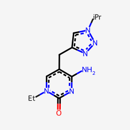 CCn1cc(Cc2cn(C(C)C)nn2)c(N)nc1=O